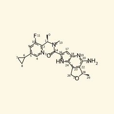 C[C@H](c1ncc(C2CC2)cc1F)N(C)C(=O)c1cc2nc(N)c3c(c2[nH]1)CO[C@@H]3C